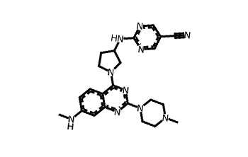 CNc1ccc2c(N3CCC(Nc4ncc(C#N)cn4)C3)nc(N3CCN(C)CC3)nc2c1